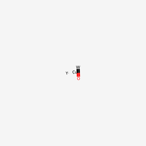 [Cu].[O]=[W].[Y]